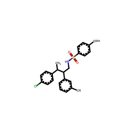 COc1ccc(S(=O)(=O)NCC(c2cccc(C#N)c2)C(C)c2ccc(Cl)cc2)cc1